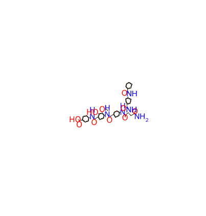 CC(C)Oc1c(NC(=O)c2ccc(NC(=O)[C@H](CC(N)=O)NC(=O)c3ccc(NC(=O)c4ccccc4)cc3)cc2)ccc(C(=O)Nc2ccc(C(=O)O)cc2)c1O